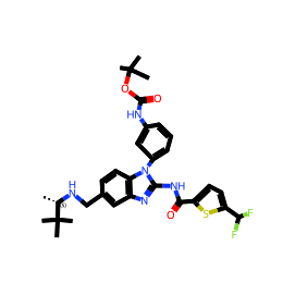 C[C@H](NCc1ccc2c(c1)nc(NC(=O)c1ccc(C(F)F)s1)n2-c1cccc(NC(=O)OC(C)(C)C)c1)C(C)(C)C